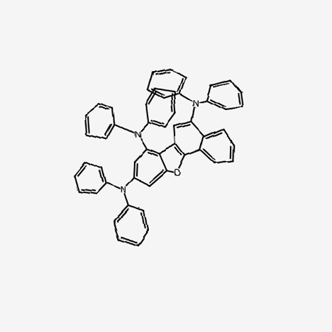 c1ccc(N(c2ccccc2)c2cc(N(c3ccccc3)c3ccccc3)c3c(c2)oc2c4ccccc4c(N(c4ccccc4)c4ccccc4)cc23)cc1